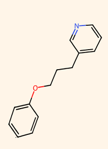 [c]1ccc(OCCCc2cccnc2)cc1